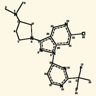 CN(C)C1CCN(c2nn(-c3ccnc(C(C)(F)F)n3)c3cc(Cl)ncc23)C1